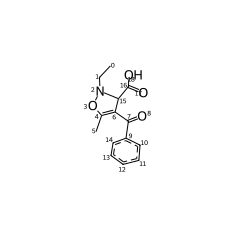 CCN1OC(C)=C(C(=O)c2ccccc2)C1C(=O)O